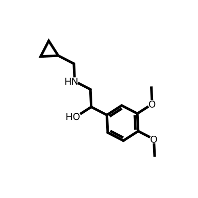 COc1ccc(C(O)CNCC2CC2)cc1OC